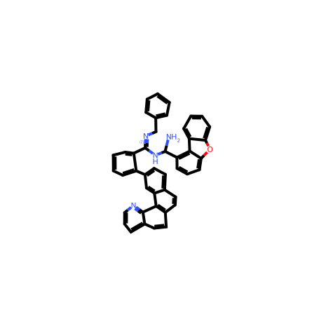 NC(N/C(=N\Cc1ccccc1)c1ccccc1-c1ccc2ccc3ccc4cccnc4c3c2c1)c1cccc2oc3ccccc3c12